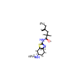 C=C(CC(C)C)CC(C)(C)C(=O)Nc1nc2c(s1)C[C@H](NCCC)CC2